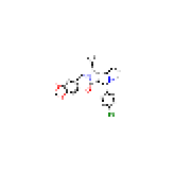 O=C1C2C(C(C3CC3)N1Cc1ccc3c(c1)OCO3)C1CCCN1C2c1ccc(Br)cc1